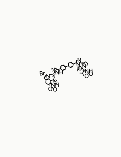 COC(=O)N[C@H]1CCc2cc(Br)n3c2C1C(=O)C[C@H](c1ncc(-c2ccc(-c4ccc(-c5cnc([C@H]6CCCN6C(=O)[C@H](NC(=O)OC)C(C)C)[nH]5)cc4)cc2)[nH]1)C3